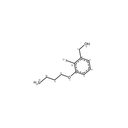 OCc1cccc(OCCC[SiH3])c1I